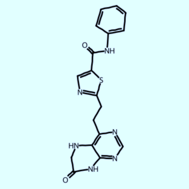 O=C1CNc2c(CCc3ncc(C(=O)Nc4ccccc4)s3)ncnc2N1